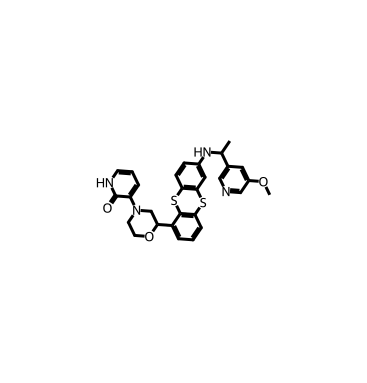 COc1cncc(C(C)Nc2ccc3c(c2)Sc2cccc(C4CN(c5ccc[nH]c5=O)CCO4)c2S3)c1